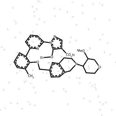 CCOc1c(C(=O)O)cnn1-c1cccc(-c2cccc(C)c2OCc2ccc3c(c2)CCN(C2CCOCC2OC)C3)n1